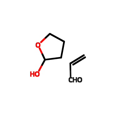 C=CC=O.OC1CCCO1